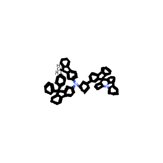 CC1(C)c2ccccc2-c2ccc(N(c3cccc(-c4ccc5c(c4)C4(c6ccccc6-5)c5ccccc5-n5c6ccccc6c6cccc4c65)c3)c3ccc4c(c3)C(c3ccccc3)(c3ccccc3)c3ccccc3-4)cc21